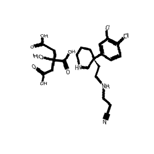 N#CCCNCC[C@]1(c2ccc(Cl)c(Cl)c2)CCCNC1.O=C(O)CC(O)(CC(=O)O)C(=O)O